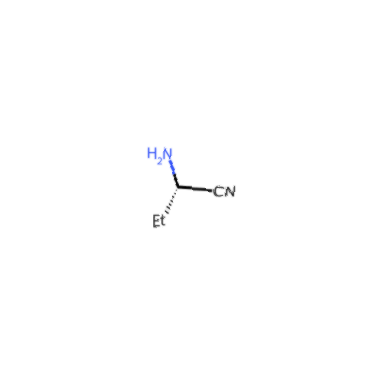 CC[C@H](N)C#N